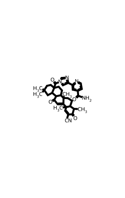 CC1C(=O)C(C#N)=CC2(C)C3=CC(=O)C4C(CCC5(C(=O)n6cnc(-c7cc(C(N)=O)ccn7)c6)CCC(C)(C)CC45)C3(C)CCC12